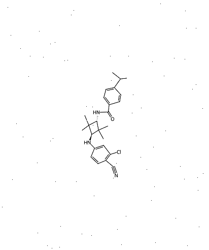 CC(C)c1ccc(C(=O)N[C@H]2C(C)(C)[C@H](Nc3ccc(C#N)c(Cl)c3)C2(C)C)cc1